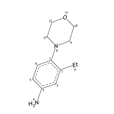 CCc1cc(N)ccc1N1CCOCC1